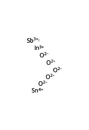 [In+3].[O-2].[O-2].[O-2].[O-2].[O-2].[Sb+3].[Sn+4]